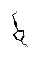 O=[N+]([O-])c1ccc(C#CCF)cc1